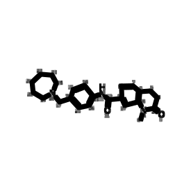 CN1C(=O)CCc2ccc(C(=O)Nc3ccc(CN4CCCCCC4)cc3)cc21